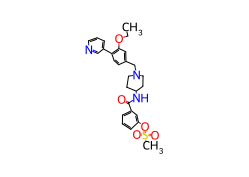 CCOc1cc(CN2CCC(NC(=O)c3cccc(OS(C)(=O)=O)c3)CC2)ccc1-c1cccnc1